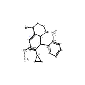 CNC(=O)/C=C1/C(S)CCNC1C(C(=O)C1CC1)c1ccccc1F.Cl